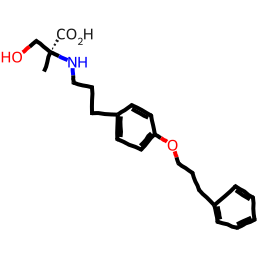 C[C@@](CO)(NCCCc1ccc(OCCCc2ccccc2)cc1)C(=O)O